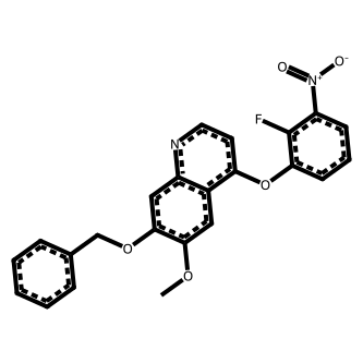 COc1cc2c(Oc3cccc([N+](=O)[O-])c3F)ccnc2cc1OCc1ccccc1